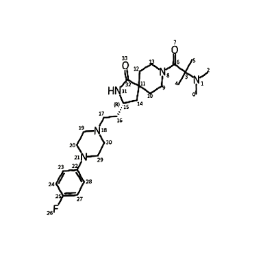 CN(C)C(C)(C)C(=O)N1CCC2(CC1)C[C@H](CCN1CCN(c3ccc(F)cc3)CC1)NC2=O